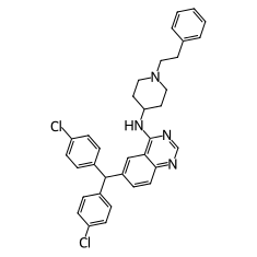 Clc1ccc(C(c2ccc(Cl)cc2)c2ccc3ncnc(NC4CCN(CCc5ccccc5)CC4)c3c2)cc1